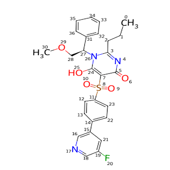 CCCc1nc(=O)c(S(=O)(=O)c2ccc(-c3cncc(F)c3)cc2)c(O)n1[C@@H](COC)c1ccccc1